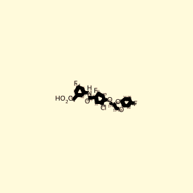 O=C(O)Cc1cc(F)cc(NC(=O)c2cc(Cl)c(OC[C@@H]3COc4cc(F)ccc4O3)cc2F)c1